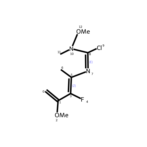 C=C(OC)/C(F)=C(C)/N=C(/Cl)N(C)OC